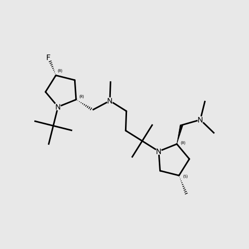 C[C@H]1C[C@H](CN(C)C)N(C(C)(C)CCN(C)C[C@H]2C[C@@H](F)CN2C(C)(C)C)C1